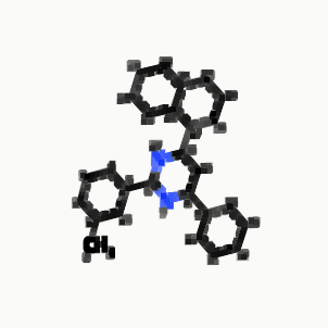 Cc1cccc(-c2nc(-c3ccccc3)cc(-c3cccc4ccccc34)n2)c1